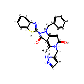 Cc1c2c(=O)n(-c3nc4ccccc4s3)n(Cc3ccccc3)c2cc(=O)n1Cc1ccn[nH]1